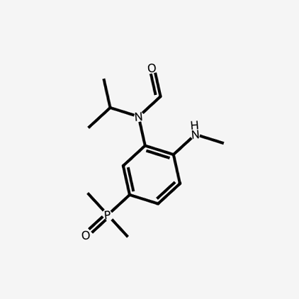 CNc1ccc(P(C)(C)=O)cc1N(C=O)C(C)C